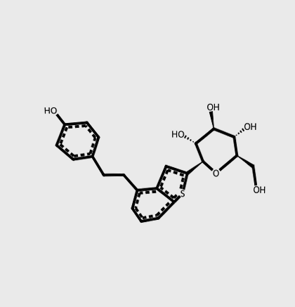 OC[C@H]1O[C@@H](c2cc3c(CCc4ccc(O)cc4)cccc3s2)[C@H](O)[C@@H](O)[C@@H]1O